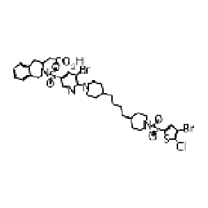 O=C(O)CC1Cc2ccccc2CN1S(=O)(=O)c1cnc(N2CCC(CCCCC3CCN(S(=O)(=O)c4cc(Br)c(Cl)s4)CC3)CC2)c(Br)c1